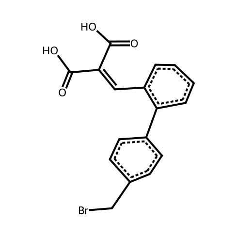 O=C(O)C(=Cc1ccccc1-c1ccc(CBr)cc1)C(=O)O